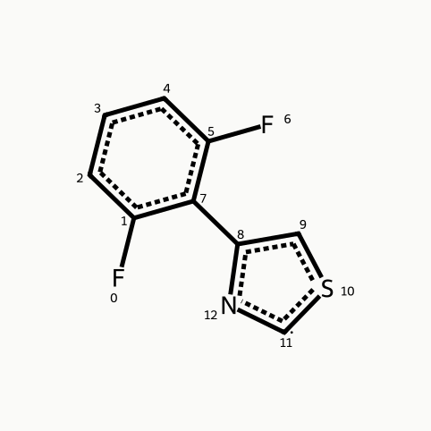 Fc1cccc(F)c1-c1cs[c]n1